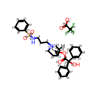 O=C(O[C@H]1C[N+]2(CCCNS(=O)(=O)c3ccccc3)CCC1CC2)C(O)(c1ccccc1)c1ccccc1.O=C([O-])C(F)(F)F